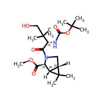 COC(=O)[C@@H]1[C@@H]2[C@H](CN1C(=O)[C@@H](NC(=O)OC(C)(C)C)C(C)(C)CO)C2(C)C